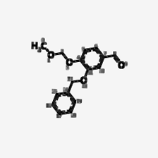 COCOc1ccc(C=O)cc1OCc1ccccc1